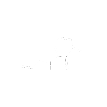 C=CCNC1=CC=CC(=O)C1=O